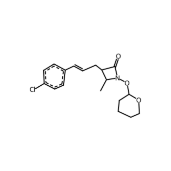 CC1C(CC=Cc2ccc(Cl)cc2)C(=O)N1OC1CCCCO1